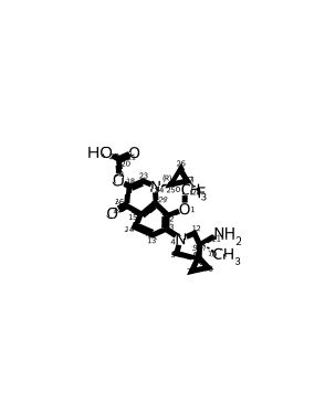 COc1c(N2CC3(CC3)[C@](C)(N)C2)ccc2c(=O)c(OC(=O)O)cn([C@@H]3C[C@@H]3F)c12